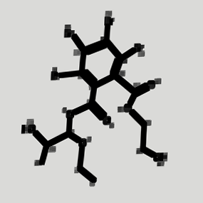 CCOC(OC(=O)c1c(Br)c(Br)c(Br)c(Br)c1C(=O)OCCO)C(C)O